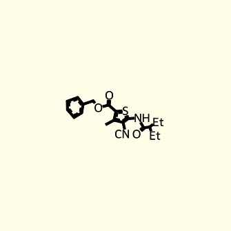 CCC(CC)C(=O)Nc1sc(C(=O)OCc2ccccc2)c(C)c1C#N